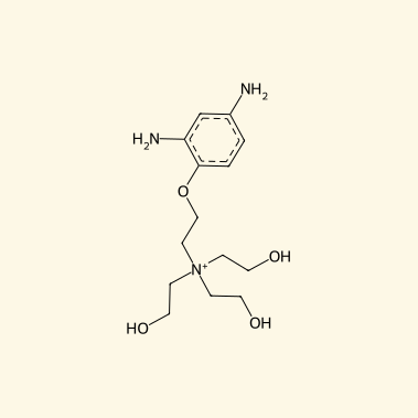 Nc1ccc(OCC[N+](CCO)(CCO)CCO)c(N)c1